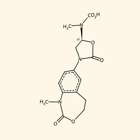 CN1C(=O)OCCc2cc(N3C[C@@H](N(C)C(=O)O)OC3=O)ccc21